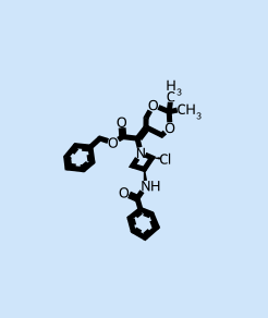 CC1(C)OCC(=C(C(=O)OCc2ccccc2)N2C[C@H](NC(=O)c3ccccc3)[C@H]2Cl)CO1